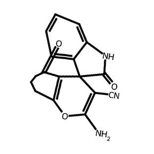 N#CC1=C(N)OC2=C(C(=O)CCC2)C12C(=O)Nc1ccccc12